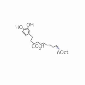 CCCCCCCC/C=C\CCCCCCC(CCc1ccc(O)c(O)c1)C(=O)O